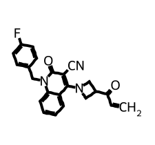 C=CC(=O)C1CN(c2c(C#N)c(=O)n(Cc3ccc(F)cc3)c3ccccc23)C1